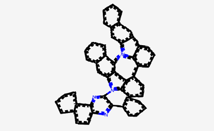 c1ccc(-c2nc3ccc4ccccc4c3nc2-n2c3cccc4c5cccc6c7cc8ccccc8cc7n(c56)c5c6ccccc6cc2c5c43)cc1